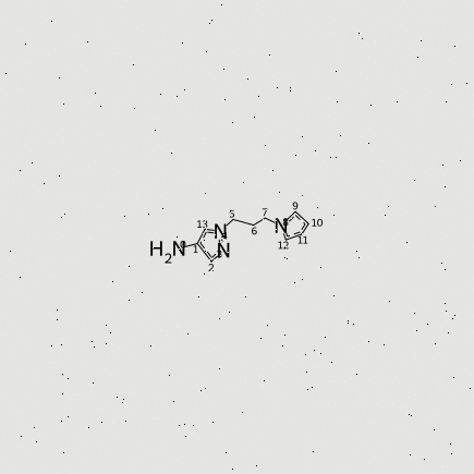 Nc1cnn(CCCn2cccc2)c1